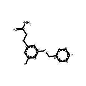 Cc1cc(CCC(N)=O)cc(SCc2ccccc2)c1